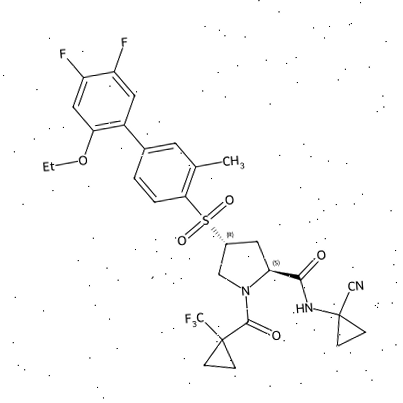 CCOc1cc(F)c(F)cc1-c1ccc(S(=O)(=O)[C@@H]2C[C@@H](C(=O)NC3(C#N)CC3)N(C(=O)C3(C(F)(F)F)CC3)C2)c(C)c1